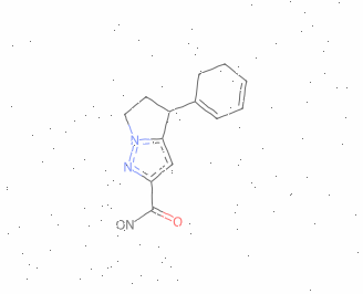 O=NC(=O)c1cc2n(n1)CCC2C1=CC=CCC1